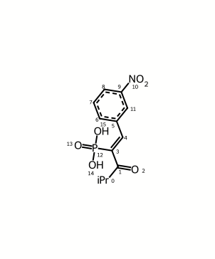 CC(C)C(=O)C(=Cc1cccc([N+](=O)[O-])c1)P(=O)(O)O